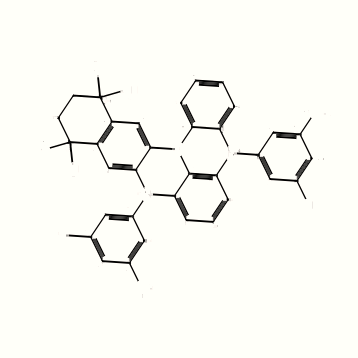 CC(C)(C)c1cc(N2c3ccccc3B3c4cc5c(cc4N(c4cc(C(C)(C)C)cc(C(C)(C)C)c4)c4cccc2c43)C(C)(C)CCC5(C)C)cc(C(C)(C)C)c1